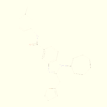 CC(C)C[C@@H](C=O)NC(=O)c1ccc2c(c1)nc(Cc1cccs1)n2C1CCCCCC1